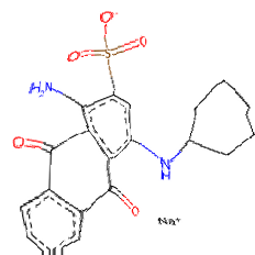 Nc1c(S(=O)(=O)[O-])cc(NC2CCCCC2)c2c1C(=O)c1ccccc1C2=O.[Na+]